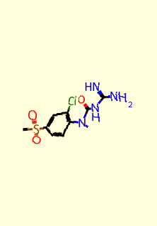 CN(C(=O)NC(=N)N)c1ccc(S(C)(=O)=O)cc1Cl